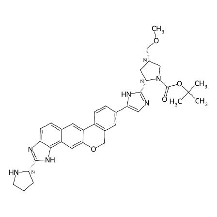 COC[C@H]1C[C@@H](c2ncc(-c3ccc4c(c3)COc3cc5c(ccc6nc([C@@H]7CCCN7)[nH]c65)cc3-4)[nH]2)N(C(=O)OC(C)(C)C)C1